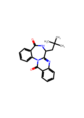 CC(C)(C)CC1NC(=O)c2ccccc2-n2c1nc1ccccc1c2=O